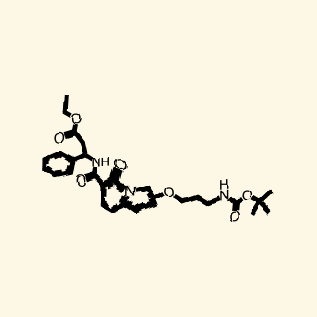 CCOC(=O)CC(NC(=O)c1ccc2ccc(OCCCNC(=O)OC(C)(C)C)cn2c1=O)c1ccccc1